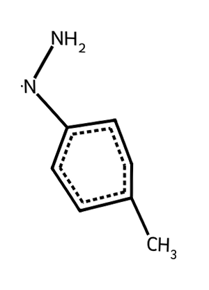 Cc1ccc([N]N)cc1